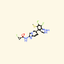 CSc1c(F)c(F)c2[nH]ncc2c1-c1ccc2nc(NC(=O)C3CC3F)cn2c1